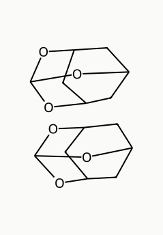 C1C2CC3CC1OC(O2)O3.C1C2CC3CC1OC(O2)O3